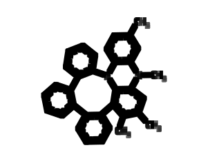 Cc1ccc2c(c1)N(C)c1cc(C)c(C)c3c1B2c1ccccc1-c1ccccc1-c1ccccc1-3